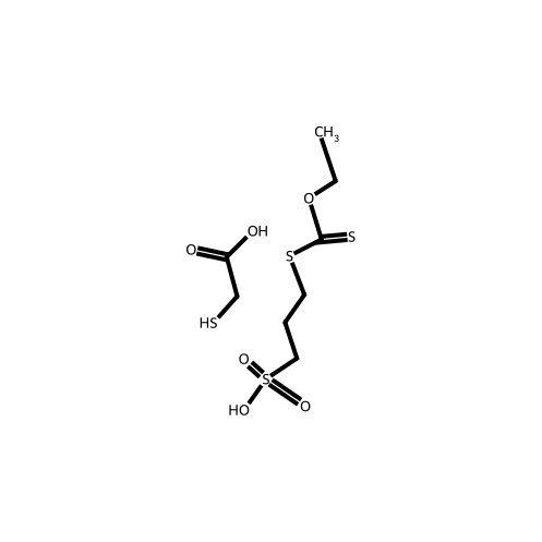 CCOC(=S)SCCCS(=O)(=O)O.O=C(O)CS